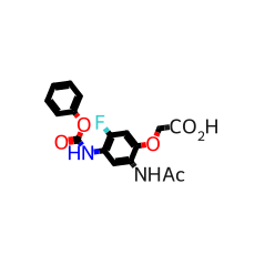 CC(=O)Nc1cc(NC(=O)Oc2ccccc2)c(F)cc1OCC(=O)O